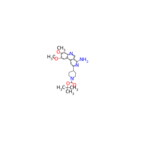 COc1cc2ncc3c(N)nc(C4CCN(C(=O)OC(C)(C)C)CC4)cc3c2cc1OC